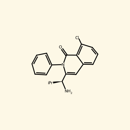 CC(C)[C@H](N)c1cc2cccc(Cl)c2c(=O)n1-c1ccccc1